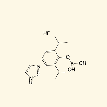 CC(C)c1cccc(C(C)C)c1OB(O)O.F.c1c[nH]cn1